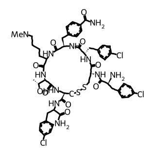 CNCCCCC1NC(=O)[C@@H](Cc2ccc(C(N)=O)cc2)NC(=O)[C@H](Cc2ccc(Cl)cc2)NC(=O)[C@H](NC(=O)[C@@H](N)Cc2ccc(Cl)cc2)CSSC[C@@H](C(=O)NC(Cc2ccc(Cl)cc2)C(N)=O)NC(=O)[C@H]([C@@H](C)O)NC1=O